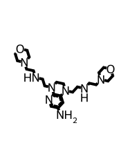 Nc1cnc2c(c1)N(CCNCCN1CCOCC1)CCN2CCNCCN1CCOCC1